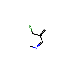 C=C(/C=N\C)CF